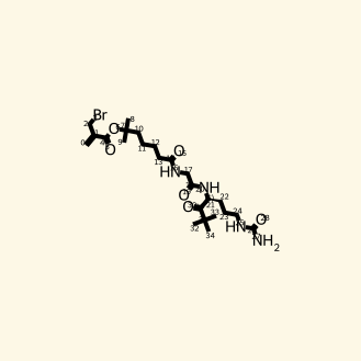 C=C(CBr)C(=O)OC(C)(C)CCCCC(=O)NCC(=O)N[C@@H](CCCNC(N)=O)C(=O)C(C)(C)C